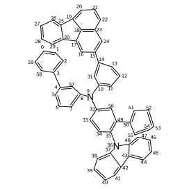 c1ccc(-c2cccc(N(c3cccc(-c4cc5c6c(cccc6c4)-c4ccccc4-5)c3)c3ccc(-n4c5ccccc5c5ccccc54)c(-c4ccccc4)c3)c2)cc1